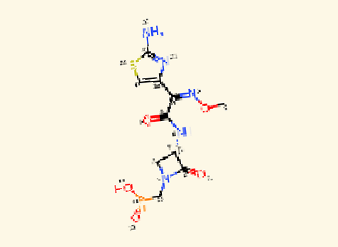 CON=C(C(=O)N[C@H]1CN(C[PH](=O)O)C1=O)c1csc(N)n1